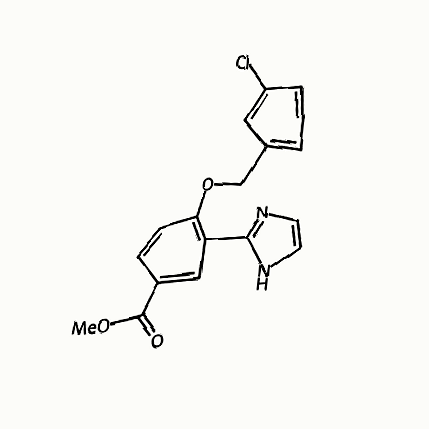 COC(=O)c1ccc(OCc2cccc(Cl)c2)c(-c2ncc[nH]2)c1